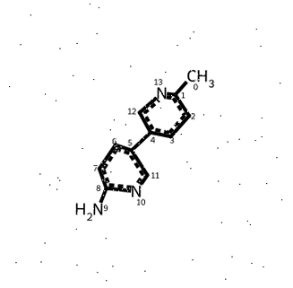 Cc1ccc(-c2ccc(N)nc2)cn1